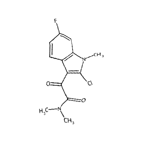 CN(C)C(=O)C(=O)c1c(Cl)n(C)c2cc(F)ccc12